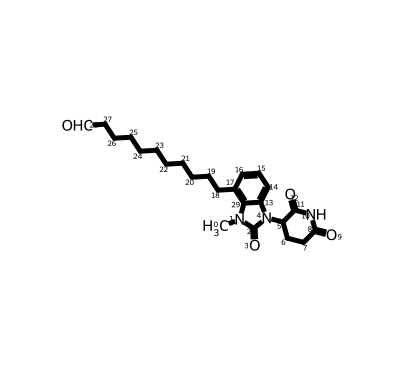 Cn1c(=O)n(C2CCC(=O)NC2=O)c2cccc(CCCCCCCCCCC=O)c21